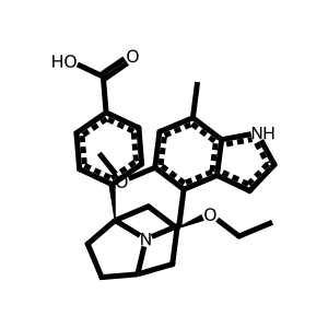 CCO[C@H]1CC2CC[C@](c3ccc(C(=O)O)cc3)(C1)N2Cc1c(OC)cc(C)c2[nH]ccc12